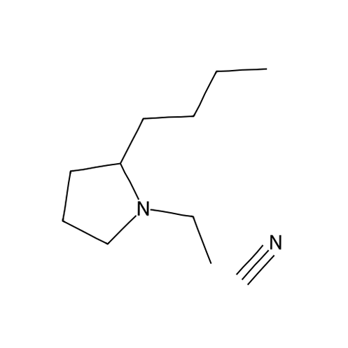 C#N.CCCCC1CCCN1CC